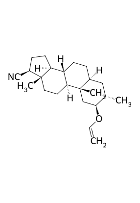 C=CO[C@H]1C[C@@]2(C)[C@@H](CC[C@@H]3[C@@H]2CC[C@]2(C)[C@@H](C#N)CC[C@@H]32)C[C@@H]1C